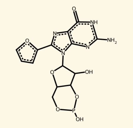 Nc1nc2c(nc(-c3ccco3)n2C2OC3COP(O)OC3C2O)c(=O)[nH]1